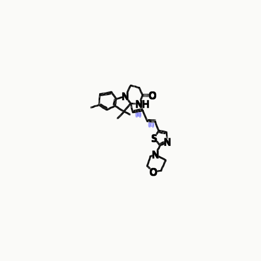 Cc1ccc2c(c1)C(C)(C)C1(/C=C/C=C/c3cnc(N4CCOCC4)s3)NC(=O)CCN21